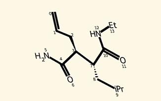 C=CC[C@H](C(N)=O)[C@@H](CC(C)C)C(=O)NCC